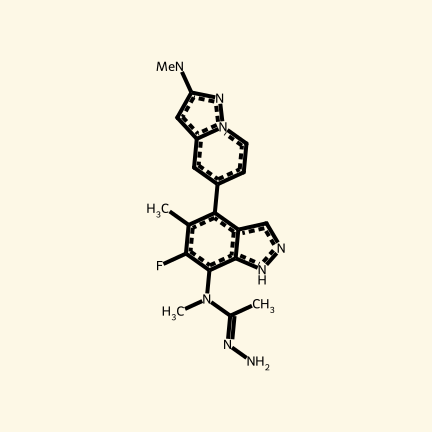 CNc1cc2cc(-c3c(C)c(F)c(N(C)/C(C)=N/N)c4[nH]ncc34)ccn2n1